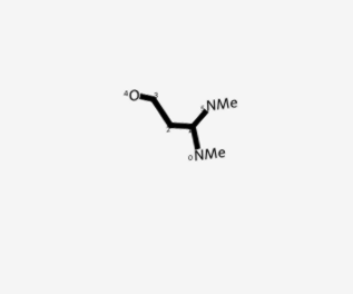 CNC(CC[O])NC